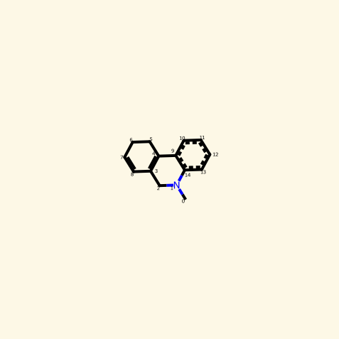 CN1CC2=C(CCC=C2)c2ccccc21